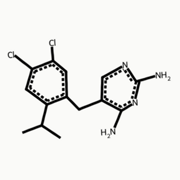 CC(C)c1cc(Cl)c(Cl)cc1Cc1cnc(N)nc1N